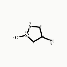 CCC1CS[S+]([O-])C1